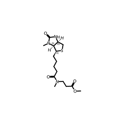 COC(=O)CCN(C)C(=O)CCCC[C@@H]1SC[C@@H]2NC(=O)N(C)[C@@H]21